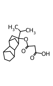 CC(C)C1(OC(=O)CC(=O)O)CC2CC1C1C3CCC(C3)C21